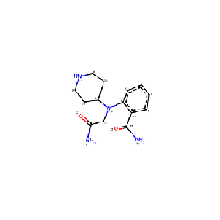 NC(=O)CN(c1ccccc1C(N)=O)C1CCNCC1